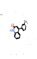 Cc1cccc(-c2cc(=O)[nH]c3ccccc23)c1